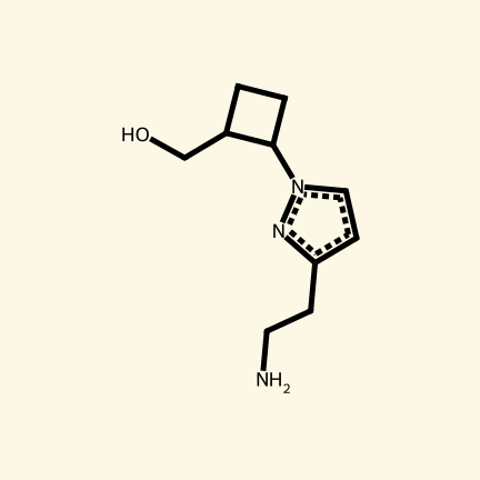 NCCc1ccn(C2CCC2CO)n1